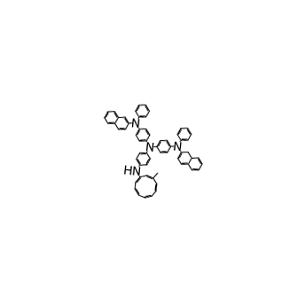 Cc1cccccccc(Nc2ccc(N(c3ccc(N(C4=CC=C5C=CC=CC5C4)c4ccccc4)cc3)c3ccc(N(c4ccccc4)c4ccc5ccccc5c4)cc3)cc2)c1